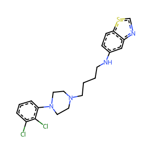 Clc1cccc(N2CCN(CCCCNc3ccc4scnc4c3)CC2)c1Cl